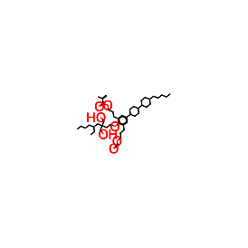 C=C(C)C(=O)OCCCc1cc(C2CCC(C3CCC(CCCCC)CC3)CC2)cc(CCCOC=O)c1OCCC(CO)(CO)CC(CC)CCCC